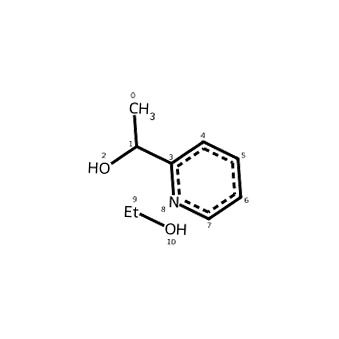 CC(O)c1ccccn1.CCO